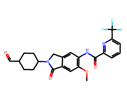 COc1cc2c(cc1NC(=O)c1cccc(C(F)(F)F)n1)CN(C1CCC(C=O)CC1)C2=O